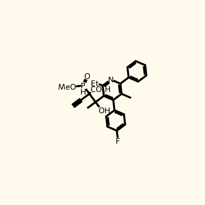 C#CC(C(=O)O)([PH](=O)OC)C(C)(O)c1c(CC)nc(-c2ccccc2)c(C)c1-c1ccc(F)cc1